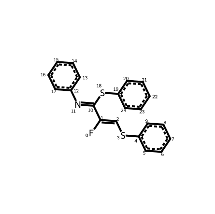 FC(=CSc1ccccc1)C(=Nc1ccccc1)Sc1ccccc1